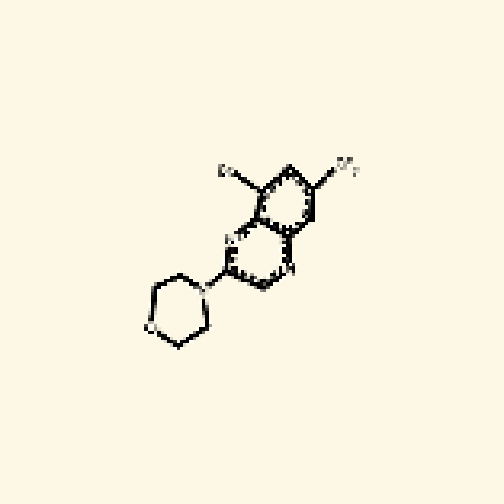 FC(F)(F)c1cc(Br)c2nc(N3CCOCC3)cnc2c1